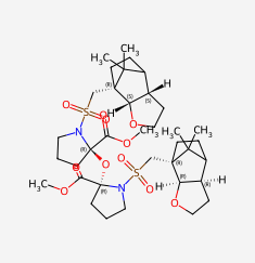 COC(=O)[C@]1(O[C@@]2(C(=O)OC)CCCN2S(=O)(=O)C[C@@]23CCC([C@@H]4CCO[C@@H]42)C3(C)C)CCCN1S(=O)(=O)C[C@@]12CCC([C@H]3CCO[C@H]31)C2(C)C